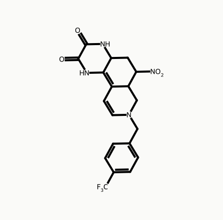 O=C1NC2=C3C=CN(Cc4ccc(C(F)(F)F)cc4)CC3C([N+](=O)[O-])CC2NC1=O